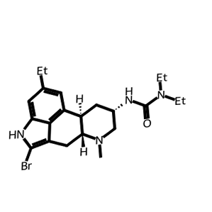 CCc1cc2c3c(c(Br)[nH]c3c1)C[C@@H]1[C@@H]2C[C@H](NC(=O)N(CC)CC)CN1C